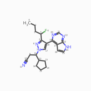 CCCC(F)c1nn(C(CC#N)C2CCCC2)cc1-c1ncnc2[nH]ccc12